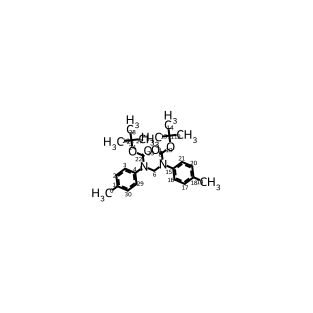 Cc1ccc(N(CN(C(=O)OC(C)(C)C)c2ccc(C)cc2)C(=O)OC(C)(C)C)cc1